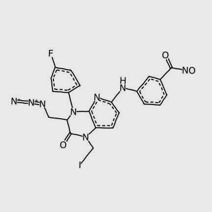 [N-]=[N+]=NCC1C(=O)N(CI)c2ccc(Nc3cccc(C(=O)N=O)c3)nc2N1c1ccc(F)cc1